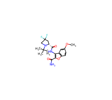 COc1ccc2oc(C(N)=O)c(NC(=O)[C@H]3CC(F)(F)CN3C(C)(C)C)c2c1